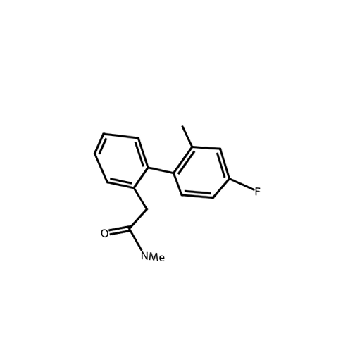 CNC(=O)Cc1ccccc1-c1ccc(F)cc1C